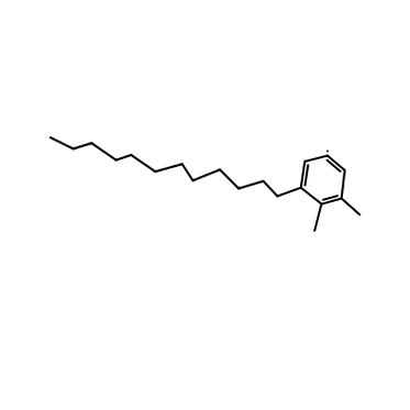 CCCCCCCCCCCCc1c[c]cc(C)c1C